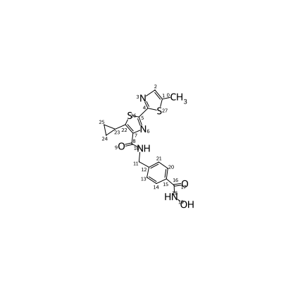 Cc1cnc(-c2nc(C(=O)NCc3ccc(C(=O)NO)cc3)c(C3CC3)s2)s1